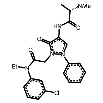 CCN(C(=O)Cn1c(=O)c(NC(=O)[C@H](C)NC)cn1-c1ccccc1)c1cccc(Cl)c1